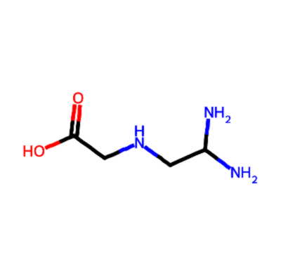 NC(N)CNCC(=O)O